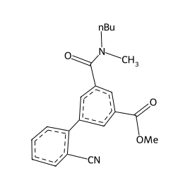 CCCCN(C)C(=O)c1cc(C(=O)OC)cc(-c2ccccc2C#N)c1